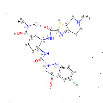 CN1CCc2nc(C(=O)N[C@@H]3C[C@@H](C(=O)N(C)C)CC[C@@H]3NC(=O)N3CC(=O)c4cc(Cl)ccc4N3)sc2C1